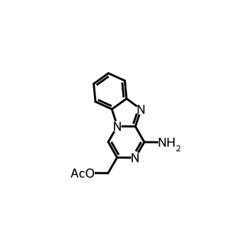 CC(=O)OCc1cn2c(nc3ccccc32)c(N)n1